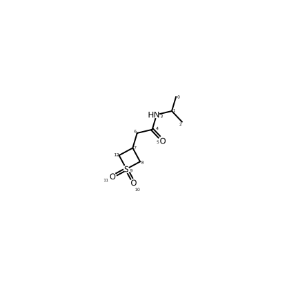 CC(C)NC(=O)CC1CS(=O)(=O)C1